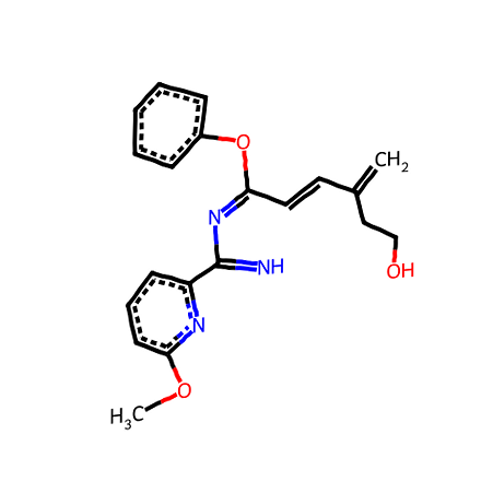 C=C(/C=C/C(=N\C(=N)c1cccc(OC)n1)Oc1ccccc1)CCO